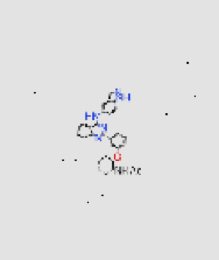 CC(=O)NC1CCCCC1Oc1cccc(-c2nc(Nc3ccc4[nH]ncc4c3)c3ccccc3n2)c1